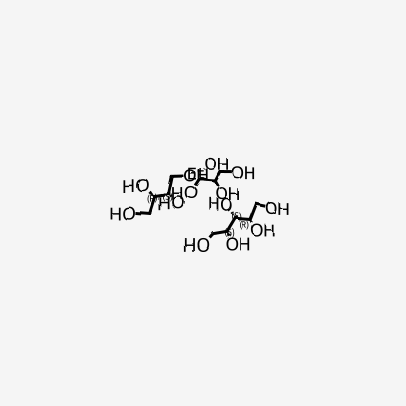 CCO.OCC(O)CO.OC[C@@H](O)[C@@H](O)CO.OC[C@@H](O)[C@@H](O)[C@@H](O)CO